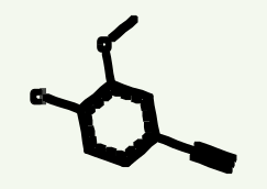 C#Cc1ccc(Cl)c(OC)c1